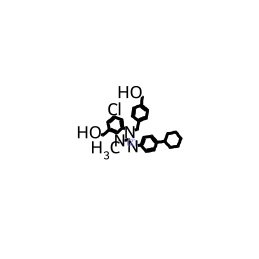 Cn1/c(=N/c2ccc(C3CCCCC3)cc2)n(Cc2ccc(CO)cc2)c2cc(Cl)cc(CO)c21